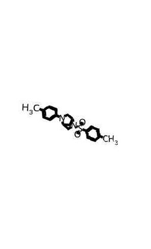 Cc1ccc(N2CC3CC2CN3S(=O)(=O)c2ccc(C)cc2)cc1